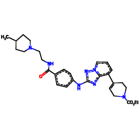 CCOC(=O)N1CC=C(c2cccn3nc(Nc4ccc(C(=O)NCCN5CCC(C)CC5)cc4)nc23)CC1